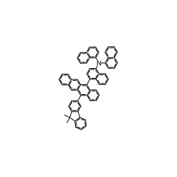 CC1(C)c2ccccc2-c2cc(-c3c4ccccc4c(-c4ccc(N(c5cccc6ccccc56)c5cccc6ccccc56)c5ccccc45)c4cc5ccccc5cc34)ccc21